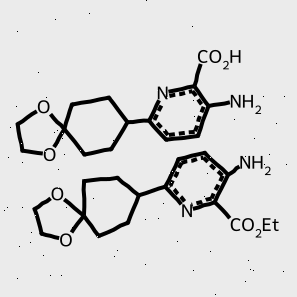 CCOC(=O)c1nc(C2CCC3(CC2)OCCO3)ccc1N.Nc1ccc(C2CCC3(CC2)OCCO3)nc1C(=O)O